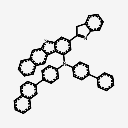 c1ccc(-c2ccc(N(c3ccc(-c4ccc5ccccc5c4)cc3)c3cc(C4=Nc5ccccc5C4)cc4sc5cc6ccccc6cc5c34)cc2)cc1